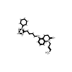 CC=CCN1C(=O)CCc2c(OCCCCc3nnnn3C3CCCCC3)cccc21